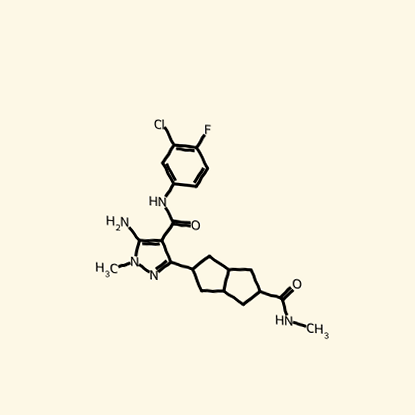 CNC(=O)C1CC2CC(c3nn(C)c(N)c3C(=O)Nc3ccc(F)c(Cl)c3)CC2C1